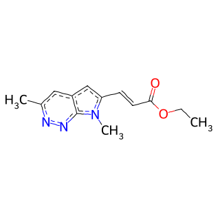 CCOC(=O)/C=C/c1cc2cc(C)nnc2n1C